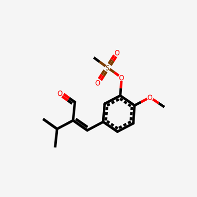 COc1ccc(C=C(C=O)C(C)C)cc1OS(C)(=O)=O